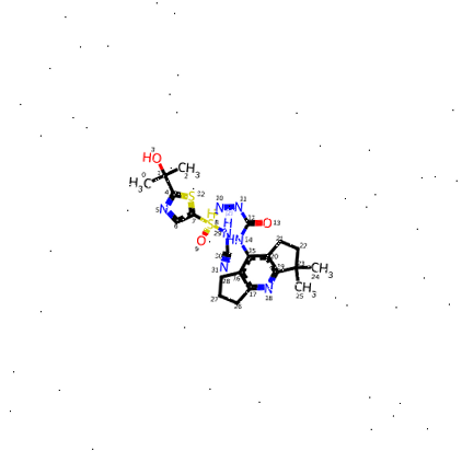 CC(C)(O)c1ncc([SH](=O)(/N=N\C(=O)Nc2c3c(nc4c2CCC4(C)C)CCC3)NC#N)s1